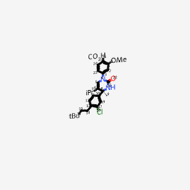 COc1cc(N2C=C(C(C)C)[C@](C)(c3ccc(CCC(C)(C)C)c(Cl)c3)NC2=O)ccc1C(=O)O